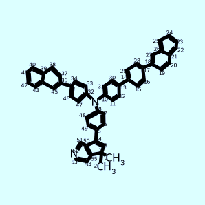 CC1(C)C=C(c2ccc(N(c3ccc(-c4ccc(-c5ccc6ccccc6c5)cc4)cc3)c3ccc(-c4ccc5ccccc5c4)cc3)cc2)c2cnccc21